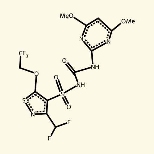 COc1cc(OC)nc(NC(=O)NS(=O)(=O)c2c(C(F)F)nsc2OCC(F)(F)F)n1